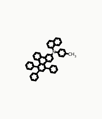 Cc1ccc(N(c2ccc3c(c2)c2ccccc2c2c(-c4ccccc4)c(-c4ccccc4)cc(-c4ccccc4)c32)c2cccc3ccccc23)cc1